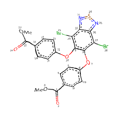 COC(=O)c1ccc(Oc2c(Oc3ccc(C(=O)OC)cc3)c(Br)c3nsnc3c2Br)cc1